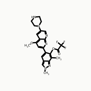 COc1cc(-c2cc3cn(C)nc3c(C)c2OC(=O)C(F)(F)F)nc2ncc(N3CCNCC3)cc12